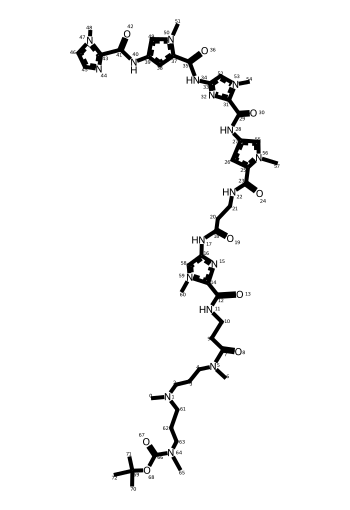 CN(CCCN(C)C(=O)CCNC(=O)c1nc(NC(=O)CCNC(=O)c2cc(NC(=O)c3nc(NC(=O)c4cc(NC(=O)c5nccn5C)cn4C)cn3C)cn2C)cn1C)CCCN(C)C(=O)OC(C)(C)C